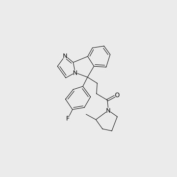 CC1CCCN1C(=O)CCC1(c2ccc(F)cc2)c2ccccc2-c2nccn21